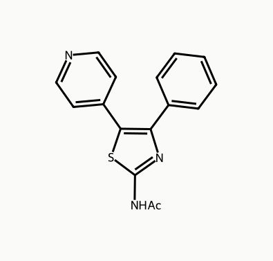 CC(=O)Nc1nc(-c2ccccc2)c(-c2ccncc2)s1